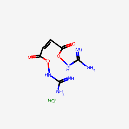 Cl.N=C(N)NOC(=O)/C=C\C(=O)ONC(=N)N